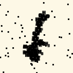 COc1cc(N2CCN(C(=O)CN3CCN(c4ccc(NC5CCC(=O)NC5=O)cc4)CC3)CC2)c(-c2cnn(C)c2)cc1Nc1ncc(Br)c(Nc2ccc3nccnc3c2NS(C)(=O)=O)n1